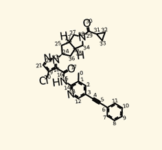 Cc1cc(C#Cc2ccccc2)cnc1NC(=O)c1c(Cl)cnn1[C@H]1C[C@@H]2CN(C(=O)C3CC3)C[C@@H]2C1